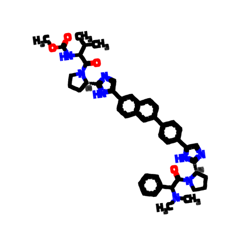 COC(=O)NC(C(=O)N1CCC[C@H]1c1ncc(-c2ccc3cc(-c4ccc(-c5cnc([C@@H]6CCCN6C(=O)C(c6ccccc6)N(C)C)[nH]5)cc4)ccc3c2)[nH]1)C(C)C